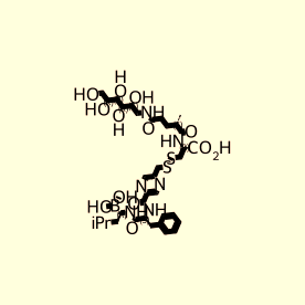 CC(C)C[C@H](NC(=O)[C@H](Cc1ccccc1)NC(=O)c1cnc(CSSC[C@H](NC(=O)[C@@H](C)CCC(=O)NC[C@H](O)[C@@H](O)[C@H](O)[C@H](O)CO)C(=O)O)cn1)B(O)O